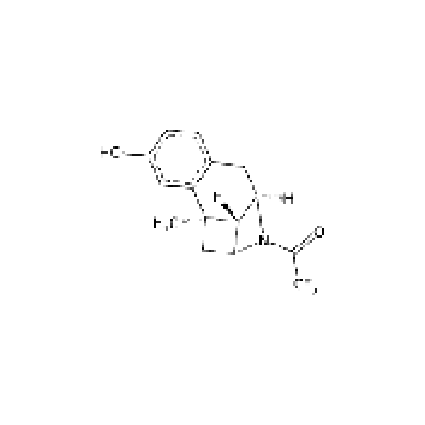 C[C@@]12CC3[C@H]1[C@@H](Cc1ccc(O)cc12)N3C(=O)C(F)(F)F